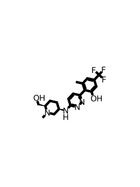 Cc1cc(C(F)(F)F)cc(O)c1-c1ccc(N[C@@H]2CC[C@H](CO)N(C)C2)nn1